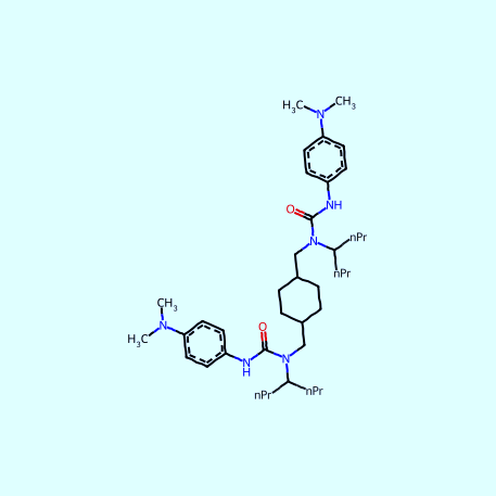 CCCC(CCC)N(CC1CCC(CN(C(=O)Nc2ccc(N(C)C)cc2)C(CCC)CCC)CC1)C(=O)Nc1ccc(N(C)C)cc1